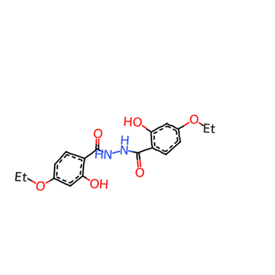 CCOc1ccc(C(=O)NNC(=O)c2ccc(OCC)cc2O)c(O)c1